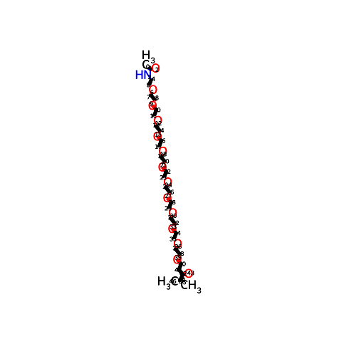 CC(=O)NCCOCCOCCOCCOCCOCCOCCOCCOCCOCCOCCOCCOCCC(=O)C(C)C